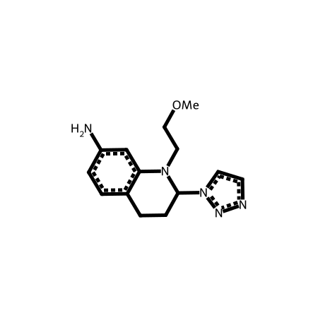 COCCN1c2cc(N)ccc2CCC1n1ccnn1